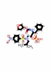 CC(C)CN(C[C@@H](OP(=O)(O)O)[C@H](Cc1ccccc1)NC(=O)O[C@H]1CCOC1)S(=O)(=O)c1ccc([N+](=O)[O-])cc1